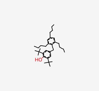 CCCCc1cc(CCCC)c(Cc2cc(C(C)(C)C)c(O)c(C(C)(C)C)c2)c(CCCC)c1